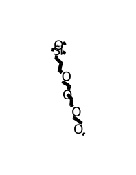 COCCOCCOCCOCCC[Si](C)(C)OC